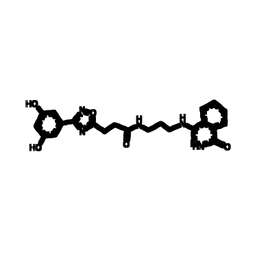 O=C(CCc1nc(-c2cc(O)cc(O)c2)no1)NCCCNc1n[nH]c(=O)c2ccccc12